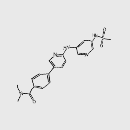 CN(C)C(=O)c1ccc(-c2ccc(Nc3cncc(NS(C)(=O)=O)c3)nc2)cc1